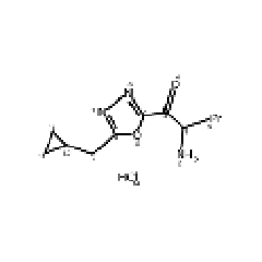 CC(C)C(N)C(=O)c1nnc(CC2CC2)o1.Cl